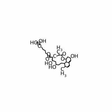 CCC(C)C(=O)OC1CC(O)C=C2C=CC(C)C(CCC(O)CC(O)CC(=O)OCCCCON(O)O)C21